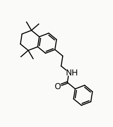 CC1(C)CCC(C)(C)c2cc(CCNC(=O)c3ccccc3)ccc21